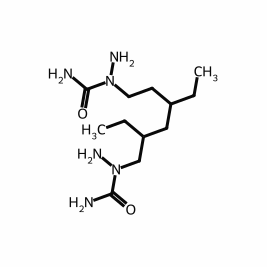 CCC(CCN(N)C(N)=O)CC(CC)CN(N)C(N)=O